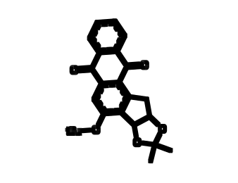 CC(C)(C)Oc1cc2c(c3c1C1OC(C)(C)OC1C3)C(=O)c1ccccc1C2=O